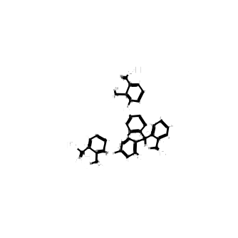 Cc1cc(Oc2cccc(C(=O)O)c2C(=O)O)ccc1C1(c2ccc(Oc3cccc(C(=O)O)c3C(=O)O)cc2C)OC(=O)c2ccccc21